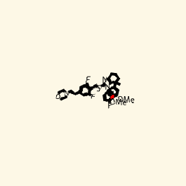 COc1ccc(C2(C)CCCc3nc(SCc4c(F)cc(CCN5CCOCC5)cc4F)n(-c4ccc(F)cc4)c32)cc1OC